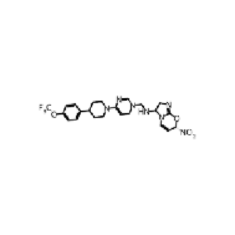 O=[N+]([O-])[C@@H]1C=CN2C(=NCC2NCN2C=NC(N3CCC(c4ccc(OC(F)(F)F)cc4)CC3)=CC2)O1